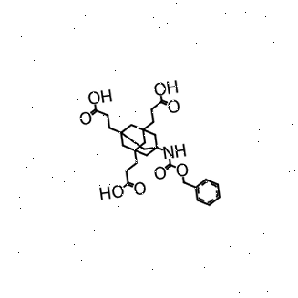 O=C(O)CCC12CC3(CCC(=O)O)CC(CCC(=O)O)(C1)CC(NC(=O)OCc1ccccc1)(C2)C3